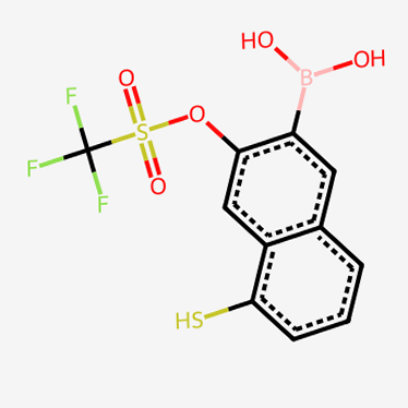 O=S(=O)(Oc1cc2c(S)cccc2cc1B(O)O)C(F)(F)F